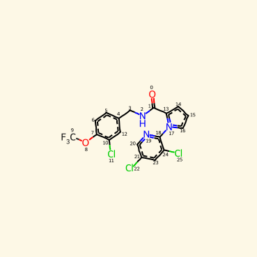 O=C(NCc1ccc(OC(F)(F)F)c(Cl)c1)c1cccn1-c1ncc(Cl)cc1Cl